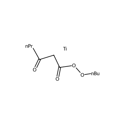 CCCCOOC(=O)CC(=O)CCC.[Ti]